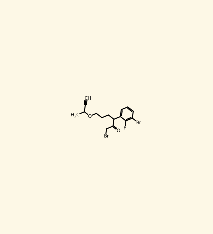 C#CC(C)OCCCC(C(=O)CBr)c1cccc(Br)c1F